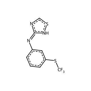 FC(F)(F)Sc1cccc(N=c2ncs[nH]2)c1